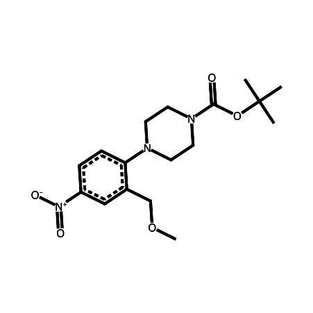 COCc1cc([N+](=O)[O-])ccc1N1CCN(C(=O)OC(C)(C)C)CC1